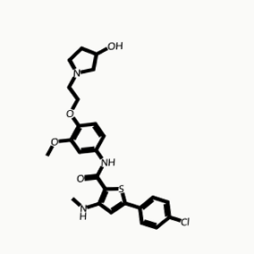 CNc1cc(-c2ccc(Cl)cc2)sc1C(=O)Nc1ccc(OCCN2CCC(O)C2)c(OC)c1